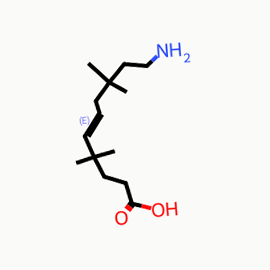 CC(C)(/C=C/CC(C)(C)CCN)CCC(=O)O